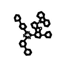 c1ccc(-c2ccc(-c3nc(-c4cccc(-c5ccccc5)c4)nc(-c4ccc(-c5ccccc5)c5oc6c(-n7c8ccccc8c8ccccc87)cccc6c45)n3)cc2)cc1